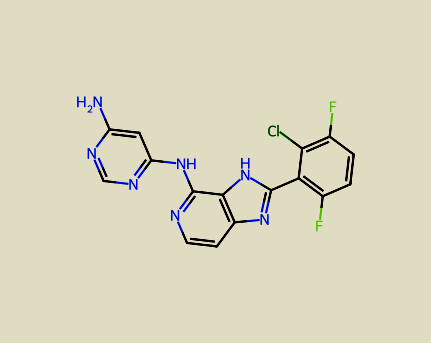 Nc1cc(Nc2nccc3nc(-c4c(F)ccc(F)c4Cl)[nH]c23)ncn1